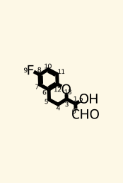 O=CC(O)C1CCc2cc(F)ccc2O1